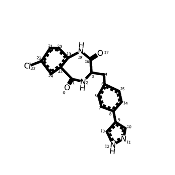 O=C1NC(Cc2ccc(-c3cn[nH]c3)cc2)C(=O)Nc2ccc(Cl)cc21